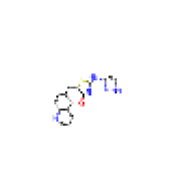 O=C1N=C(Nc2cc[nH]n2)SC1=Cc1ccc2ncccc2c1